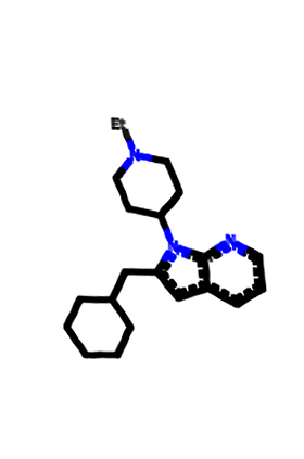 CCN1CCC(n2c(CC3CCCCC3)cc3cccnc32)CC1